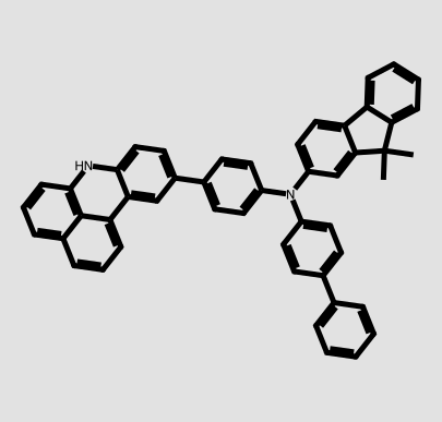 CC1(C)c2ccccc2-c2ccc(N(c3ccc(-c4ccccc4)cc3)c3ccc(-c4ccc5c(c4)-c4cccc6cccc(c46)N5)cc3)cc21